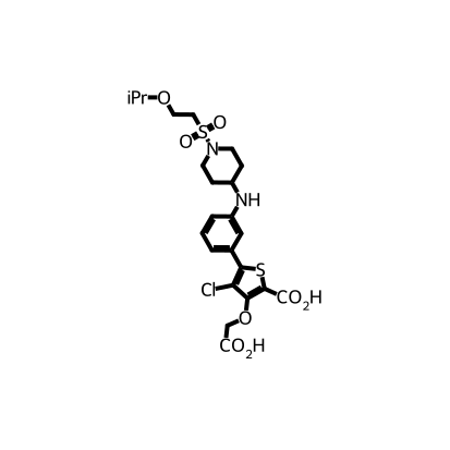 CC(C)OCCS(=O)(=O)N1CCC(Nc2cccc(-c3sc(C(=O)O)c(OCC(=O)O)c3Cl)c2)CC1